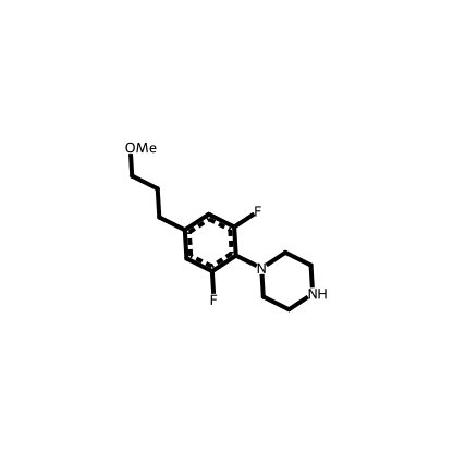 COCCCc1cc(F)c(N2CCNCC2)c(F)c1